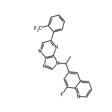 CC(c1cc(F)c2ncccc2c1)n1cnc2ncc(-c3ccccc3C(F)(F)F)nc21